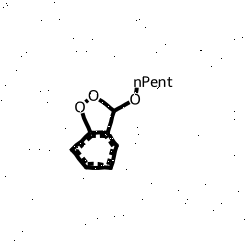 CCCCCOC1OOc2ccccc21